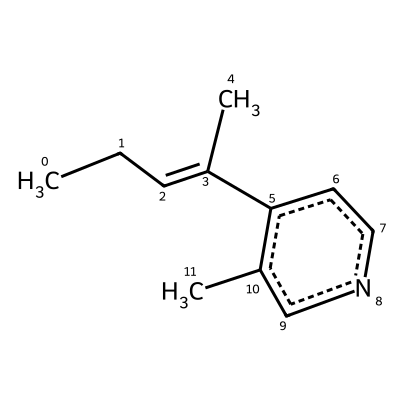 CCC=C(C)c1ccncc1C